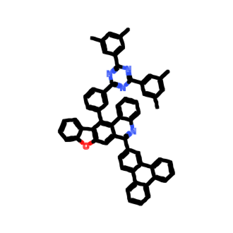 Cc1cc(C)cc(-c2nc(-c3cc(C)cc(C)c3)nc(-c3cccc(-c4c5c(cc6c(-c7ccc8c9ccccc9c9ccccc9c8c7)nc7ccccc7c46)oc4ccccc45)c3)n2)c1